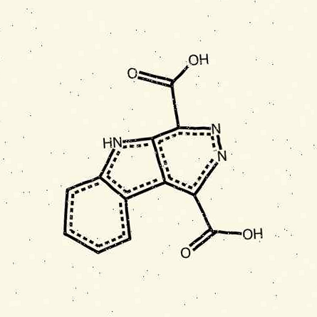 O=C(O)c1nnc(C(=O)O)c2c1[nH]c1ccccc12